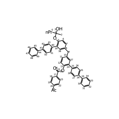 CCCC(C)(O)Oc1ccc(Cc2ccc(OC(=O)c3ccc(C(C)=O)cc3)c(-c3ccc(-c4ccccc4)cc3)c2)cc1-c1ccc(-c2ccccc2)cc1